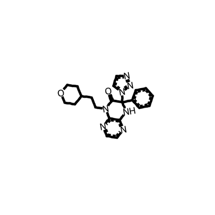 O=C1N(CCC2CCOCC2)c2nccnc2NC1(c1ccccc1)n1ccnn1